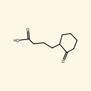 O=C(O)CCCC1CCCCC1=O